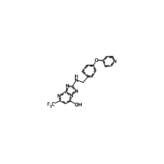 Oc1cc(C(F)(F)F)nc2nc(NCc3ccc(Oc4ccncc4)cc3)nn12